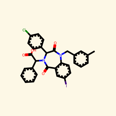 Cc1cccc(CN2C(=O)C(c3ccc(Cl)cc3)N(C(C(=O)O)c3ccccc3)C(=O)c3cc(I)ccc32)c1